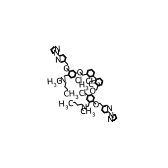 CCCCN(C)Cc1cc(Cl)c(OCc2cccc(-c3cccc(COc4cc(OCc5ccc(-n6cccn6)nc5)c(CN(C)CCCC)cc4Cl)c3C)c2C)cc1OCc1ccc(-n2cccn2)nc1